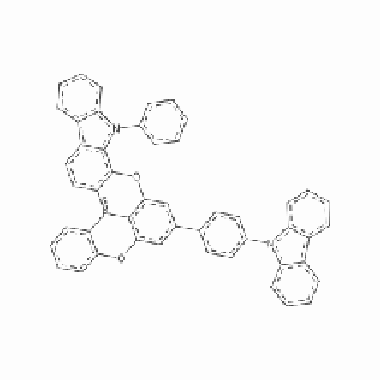 S=P12c3ccccc3Oc3cc(-c4ccc(-n5c6ccccc6c6ccccc65)cc4)cc(c31)Oc1c2ccc2c3ccccc3n(-c3ccccc3)c12